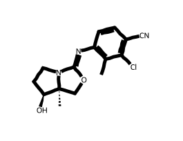 Cc1c(N=C2OC[C@@]3(C)[C@@H](O)CCN23)ccc(C#N)c1Cl